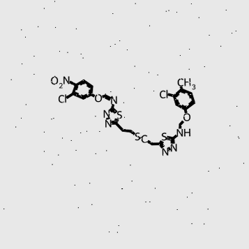 Cc1ccc(OCNc2nnc(CCSCCc3nnc(/N=C\Oc4ccc([N+](=O)[O-])c(Cl)c4)s3)s2)cc1Cl